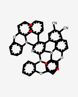 N#Cc1ccc(-c2c(-c3ccccc3)c(N3c4ccccc4Oc4ccccc43)nc(N3c4ccccc4Oc4ccccc43)c2N2c3ccccc3Oc3ccccc32)cc1C#N